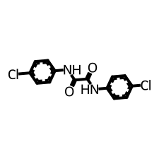 O=C(Nc1ccc(Cl)cc1)C(=O)Nc1ccc(Cl)cc1